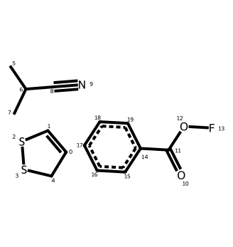 C1=CSSC1.CC(C)C#N.O=C(OF)c1ccccc1